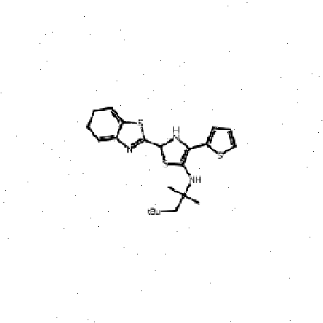 CC(C)(C)CC(C)(C)NC1=C(c2cccs2)NC(c2nc3c(s2)=CCCC=3)S1